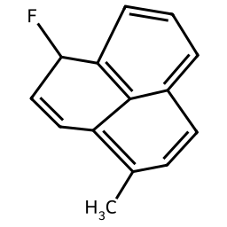 Cc1ccc2cccc3c2c1C=CC3F